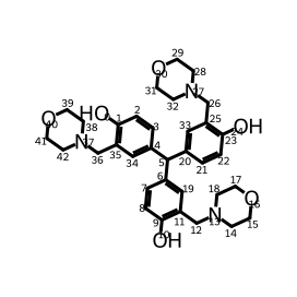 Oc1ccc(C(c2ccc(O)c(CN3CCOCC3)c2)c2ccc(O)c(CN3CCOCC3)c2)cc1CN1CCOCC1